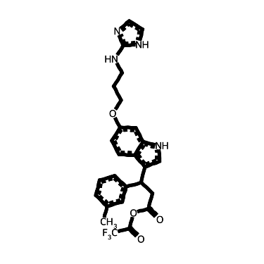 Cc1cccc(C(CC(=O)OC(=O)C(F)(F)F)c2c[nH]c3cc(OCCCNc4ncc[nH]4)ccc23)c1